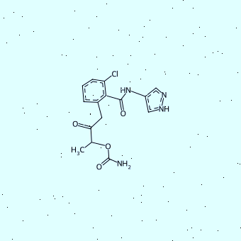 CC(OC(N)=O)C(=O)Cc1cccc(Cl)c1C(=O)Nc1cn[nH]c1